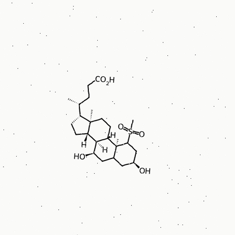 C[C@H](CCC(=O)O)[C@H]1CC[C@H]2[C@@H]3[C@H](O)CC4C[C@H](O)CC(S(C)(=O)=O)[C@]4(C)[C@H]3CC[C@]12C